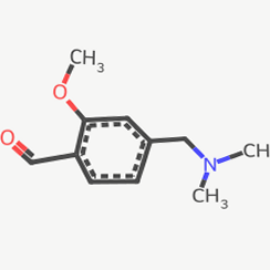 COc1cc(CN(C)C)ccc1C=O